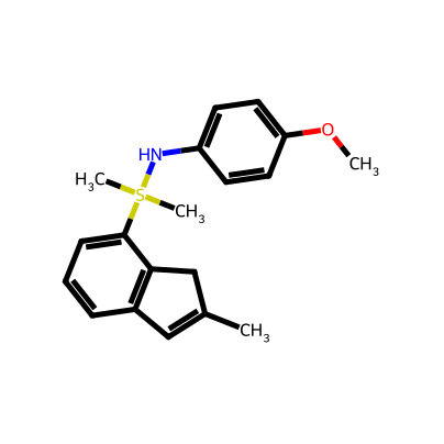 COc1ccc(NS(C)(C)c2cccc3c2CC(C)=C3)cc1